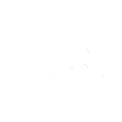 Cc1ccccc1-c1cnn(O)n1